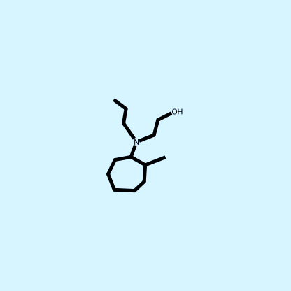 CCCN(CCO)C1CCCCCC1C